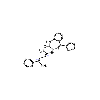 N/C(=C\C=C(/N)NC1N=C(c2ccccc2)c2ccccc2NC1=O)c1ccccc1